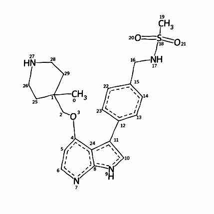 CC1(COc2ccnc3[nH]cc(-c4ccc(CNS(C)(=O)=O)cc4)c23)CCNCC1